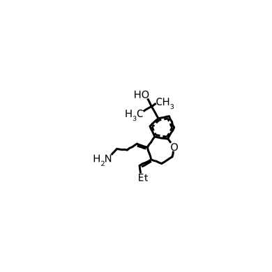 CC/C=C1\CCOc2ccc(C(C)(C)O)cc2\C1=C\CCN